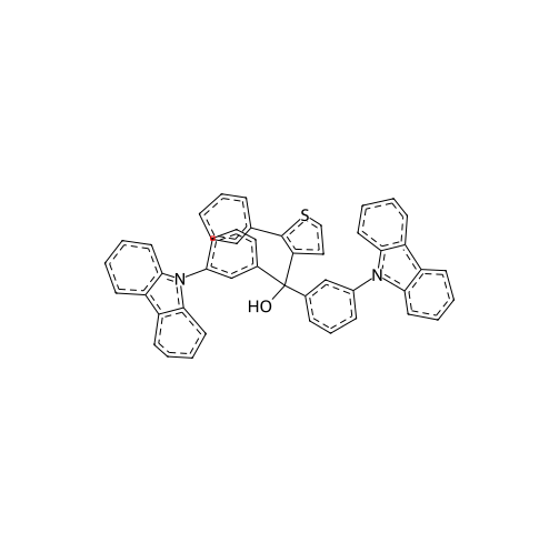 OC(c1cccc(-n2c3ccccc3c3ccccc32)c1)(c1cccc(-n2c3ccccc3c3ccccc32)c1)c1ccsc1-c1ccccc1